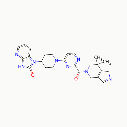 CC1(C)CN(C(=O)c2nccc(N3CCC(n4c(=O)[nH]c5ncccc54)CC3)n2)CC2=C1CN=C2